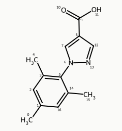 Cc1cc(C)c(-n2cc(C(=O)O)cn2)c(C)c1